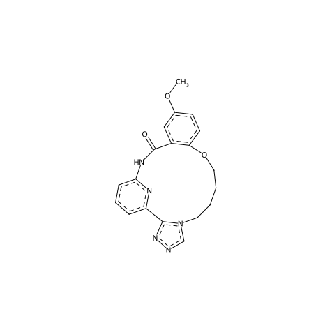 COc1ccc2c(c1)C(=O)Nc1cccc(n1)-c1nncn1CCCCO2